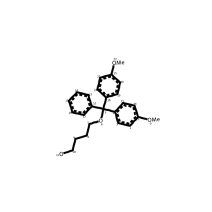 COc1ccc(C(OCCCC[O])(c2ccccc2)c2ccc(OC)cc2)cc1